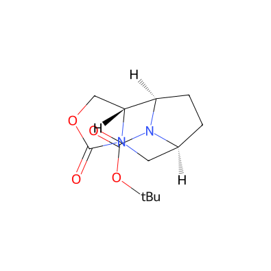 CC(C)(C)OC(=O)N1[C@H]2CC[C@@H]1[C@H]1COC(=O)N1C2